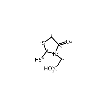 O=C(O)CN1C(=O)CSC1S